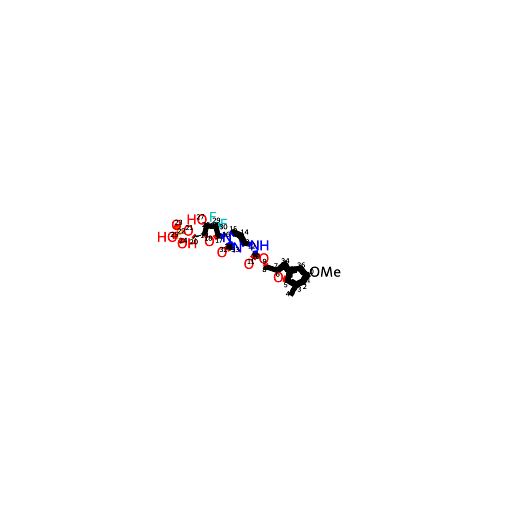 COc1cc(C)c2oc(COC(=O)Nc3ccn(C4O[C@H](COP(=O)(O)O)[C@@H](O)C4(F)F)c(=O)n3)cc2c1